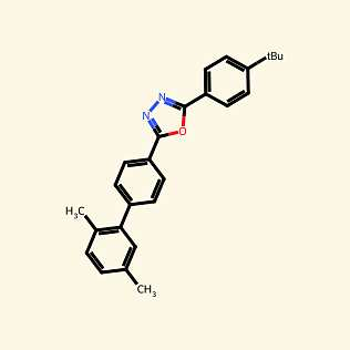 Cc1ccc(C)c(-c2ccc(-c3nnc(-c4ccc(C(C)(C)C)cc4)o3)cc2)c1